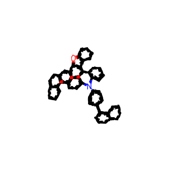 c1ccc(N(c2ccc(-c3cccc4ccccc34)cc2)c2ccc(-c3cccc4ccccc34)cc2)c(-c2cc3ccccc3c3oc4ccccc4c23)c1